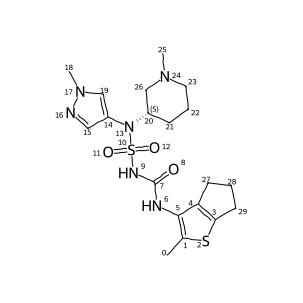 Cc1sc2c(c1NC(=O)NS(=O)(=O)N(c1cnn(C)c1)[C@H]1CCCN(C)C1)CCC2